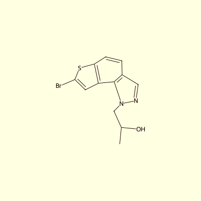 CC(O)Cn1ncc2ccc3sc(Br)cc3c21